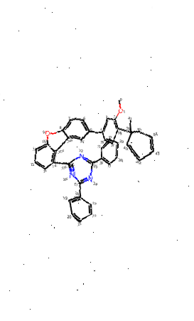 COc1cc(-c2ccc3oc4cccc(-c5nc(-c6ccccc6)nc(-c6ccccc6)n5)c4c3c2)ccc1C1(C)C=CC=CC1